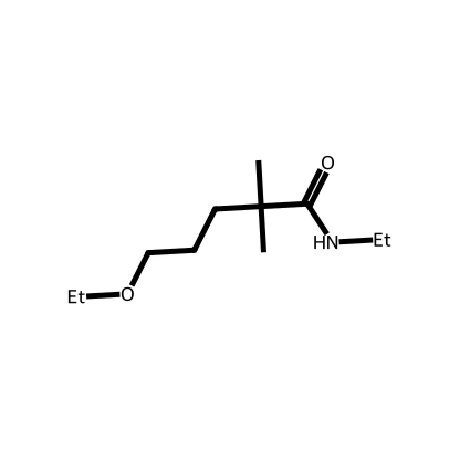 CCNC(=O)C(C)(C)CCCOCC